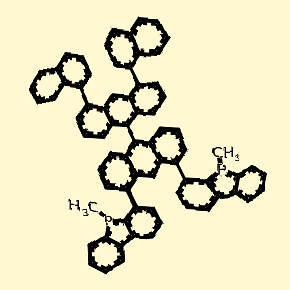 Cp1c2ccccc2c2cccc(-c3cccc4c(-c5c6cccc(-c7cccc8ccccc78)c6cc6c(-c7cccc8ccccc78)cccc56)c5cccc(-c6cccc7c8ccccc8p(C)c67)c5cc34)c21